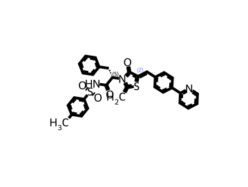 C=c1s/c(=C\c2ccc(-c3ccccn3)cc2)c(=O)n1[C@@H](Cc1ccccc1)C(=O)NS(=O)(=O)c1ccc(C)cc1